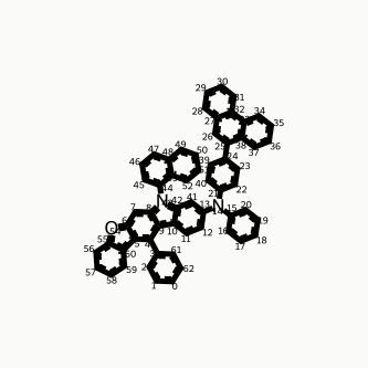 c1ccc(-c2c3c(cc4c2c2ccc(N(c5ccccc5)c5ccc(-c6cc7ccccc7c7ccccc67)cc5)cc2n4-c2cccc4ccccc24)oc2ccccc23)cc1